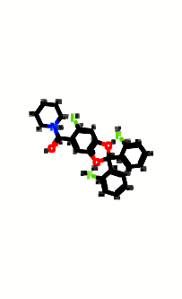 O=C(c1cc2c(cc1F)OC(c1ccccc1F)(c1ccccc1F)O2)N1CCCCC1